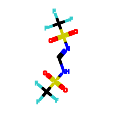 O=S(=O)(/N=C/NS(=O)(=O)C(F)(F)F)C(F)(F)F